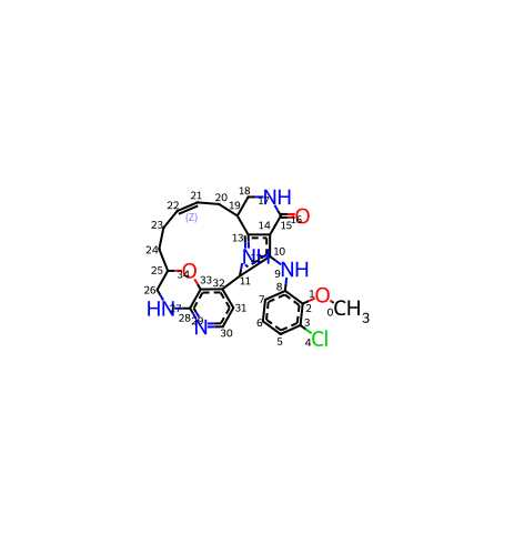 COc1c(Cl)cccc1Nc1c2[nH]c3c1C(=O)NCC3C/C=C\CCC1CNc3nccc-2c3O1